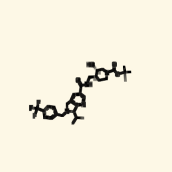 CC(C)C1c2ncc(C(=O)NC[C@@H]3CCN(C(=O)OC(C)(C)C)C[C@H]3O)cc2CN1Cc1ccc(C(F)(F)F)cc1